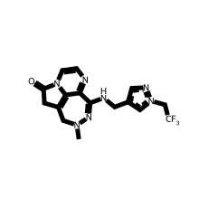 CN1CC2=C3C(=NC=CN3C(=O)C2)C(NCc2cnn(CC(F)(F)F)c2)=N1